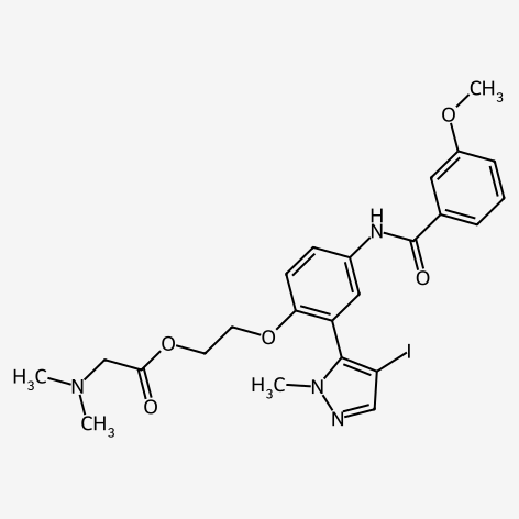 COc1cccc(C(=O)Nc2ccc(OCCOC(=O)CN(C)C)c(-c3c(I)cnn3C)c2)c1